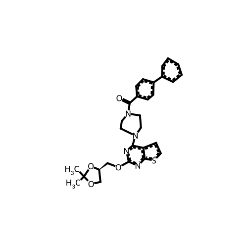 CC1(C)OC[C@H](COc2nc(N3CCN(C(=O)c4ccc(-c5ccccc5)cc4)CC3)c3ccsc3n2)O1